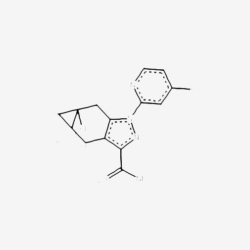 CC12Cc3c(c(C(N)=O)nn3-c3cc(I)ccn3)C[C@H]1C2